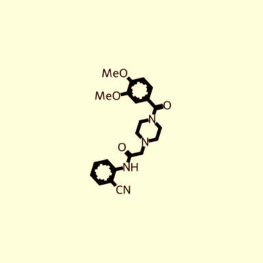 COc1ccc(C(=O)N2CCN(CC(=O)Nc3ccccc3C#N)CC2)cc1OC